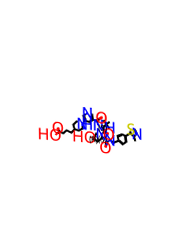 Cc1ncsc1-c1ccc(CNC(=O)[C@@H]2C[C@@H](O)CN2C(=O)[C@@H](NC(=O)c2cncc(N3CCC(CCCC(=O)O)CC3)c2)C(C)(C)C)cc1